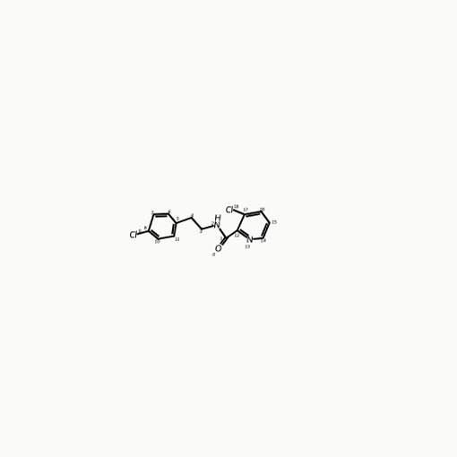 O=C(NCCc1ccc(Cl)cc1)c1ncccc1Cl